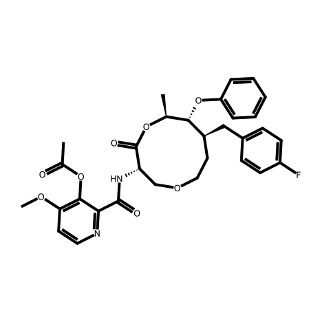 COc1ccnc(C(=O)N[C@H]2COCC[C@H](Cc3ccc(F)cc3)[C@@H](Oc3ccccc3)[C@H](C)OC2=O)c1OC(C)=O